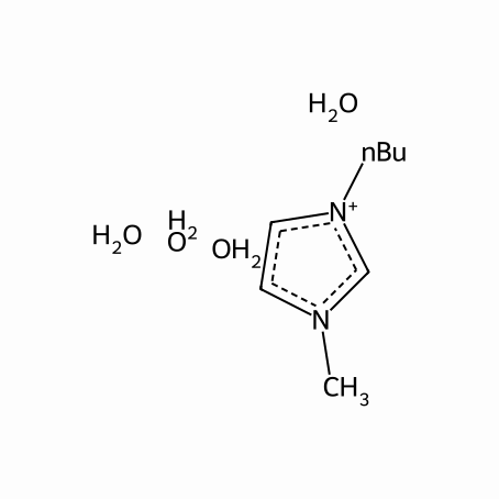 CCCC[n+]1ccn(C)c1.O.O.O.O